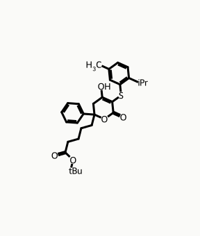 Cc1ccc(C(C)C)c(SC2=C(O)CC(CCCCC(=O)OC(C)(C)C)(c3ccccc3)OC2=O)c1